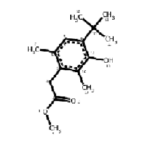 COC(=O)Cc1c(C)cc(C(C)(C)C)c(O)c1C